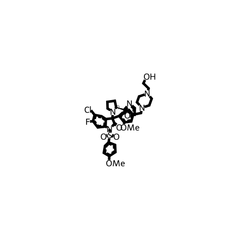 COc1ccc(S(=O)(=O)N2C(=O)C(c3ccc(CN4CCN(CCO)CC4)cc3OC)(N3CCC[C@H]3c3ncco3)c3cc(Cl)c(F)cc32)cc1